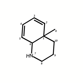 CC12C=CC=CC1NCCC2